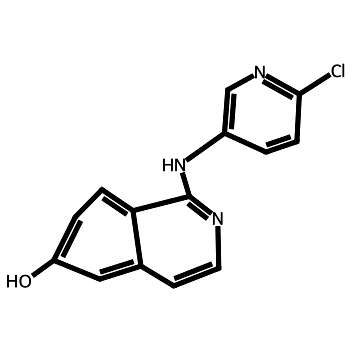 Oc1ccc2c(Nc3ccc(Cl)nc3)nccc2c1